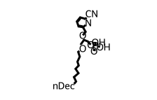 CCCCCCCCCCCCCCCCCCOCC(COP(=O)(O)O)OCc1cccc(C#N)n1